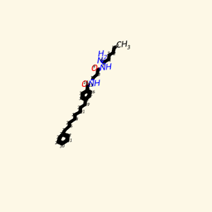 CCCCCC(N)NC(=O)CCNC(=O)c1ccc(CCCCCCCCc2ccccc2)cc1